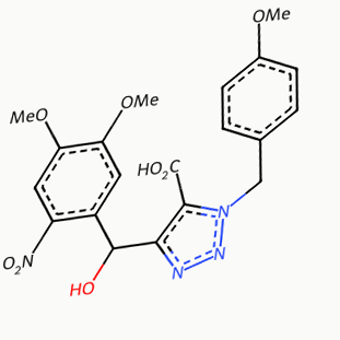 COc1ccc(Cn2nnc(C(O)c3cc(OC)c(OC)cc3[N+](=O)[O-])c2C(=O)O)cc1